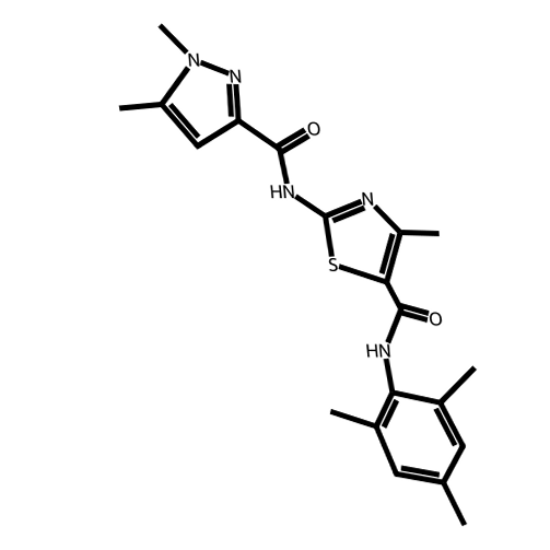 Cc1cc(C)c(NC(=O)c2sc(NC(=O)c3cc(C)n(C)n3)nc2C)c(C)c1